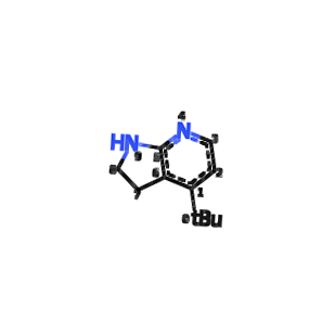 CC(C)(C)c1ccnc2c1CCN2